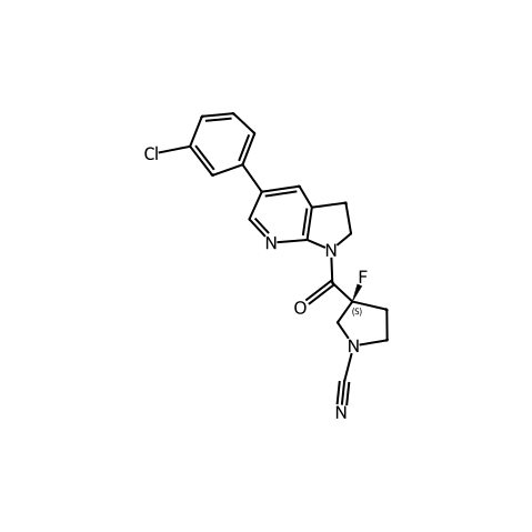 N#CN1CC[C@@](F)(C(=O)N2CCc3cc(-c4cccc(Cl)c4)cnc32)C1